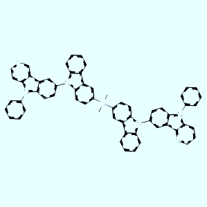 C[Si](C)(c1ccc2c(c1)c1ccccc1n2-c1ccc2c(c1)c1cnccc1n2-c1ccccc1)c1ccc2c(c1)c1ccccc1n2-c1ccc2c(c1)c1ncccc1n2-c1ccccc1